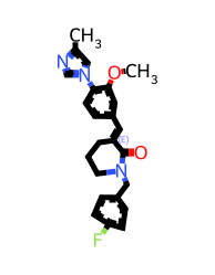 COc1cc(/C=C2\CCCN(Cc3ccc(F)cc3)C2=O)ccc1-n1cnc(C)c1